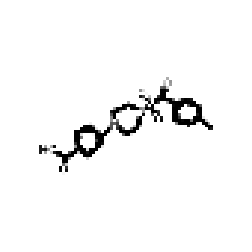 Cc1ccc(C(=O)S(=O)(=O)N2CCN(c3ccc(C(=O)O)cc3)CC2)cc1